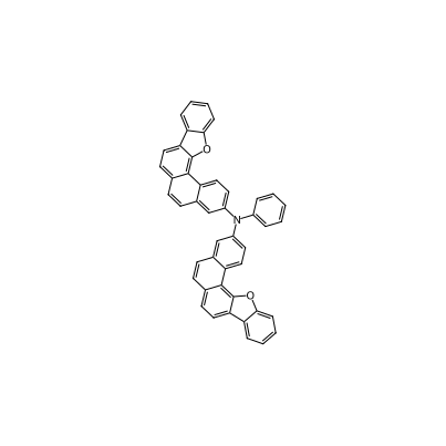 c1ccc(N(c2ccc3c(ccc4ccc5c6ccccc6oc5c43)c2)c2ccc3c(ccc4ccc5c6ccccc6oc5c43)c2)cc1